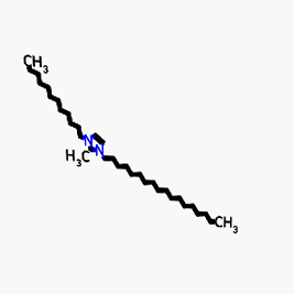 CCCCCCCCCCCCCCCCCCN1C=CN(CCCCCCCCCCCC)C1C